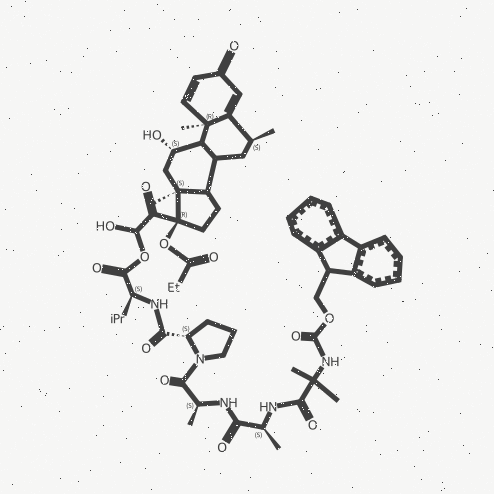 CCC(=O)O[C@]1(C(=O)C(O)OC(=O)[C@@H](NC(=O)[C@@H]2CCCN2C(=O)[C@H](C)NC(=O)[C@H](C)NC(=O)C(C)(C)NC(=O)OCC2c3ccccc3-c3ccccc32)C(C)C)CCC2C3C[C@H](C)C4=CC(=O)C=C[C@]4(C)C3[C@@H](O)C[C@@]21C